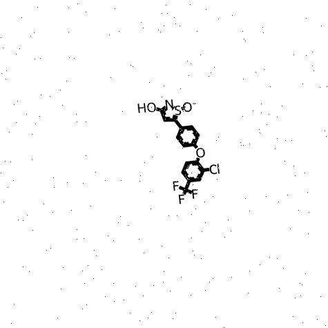 [O-][s+]1nc(O)cc1-c1ccc(Oc2ccc(C(F)(F)F)cc2Cl)cc1